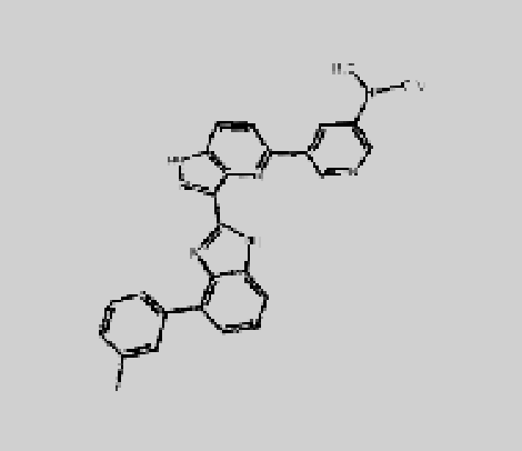 CN(C)c1cncc(-c2ccc3[nH]nc(-c4nc5c(-c6cccc(F)c6)cccc5[nH]4)c3n2)c1